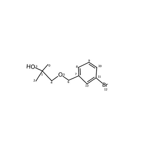 CC(C)(O)COCc1cccc(Br)c1